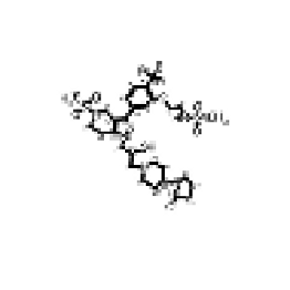 CS(=O)(=O)NCCSc1cc(-c2nn(CC(O)CN3CCC(N4CCCC4=O)CC3)c3c2CN(S(C)(=O)=O)CC3)ccc1C(F)(F)F